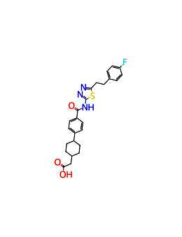 O=C(O)CC1CCC(c2ccc(C(=O)Nc3nnc(CCc4ccc(F)cc4)s3)cc2)CC1